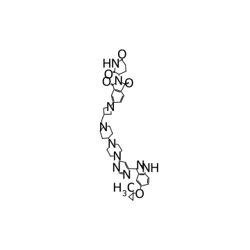 CC1(Oc2ccc3[nH]nc(-c4cc(N5CCN(C6CCN(CC7CN(c8ccc9c(c8)C(=O)N(C8CCC(=O)NC8=O)C9=O)C7)CC6)CC5)ncn4)c3c2)CC1